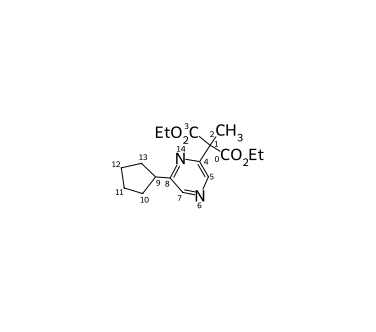 CCOC(=O)C(C)(C(=O)OCC)c1cncc(C2CCCC2)n1